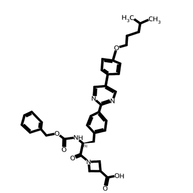 CC(C)CCCOc1ccc(-c2cnc(-c3ccc(C[C@H](NC(=O)OCc4ccccc4)C(=O)N4CC(C(=O)O)C4)cc3)nc2)cc1